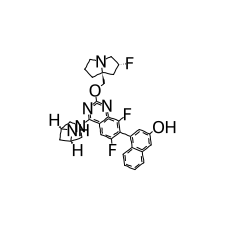 Oc1cc(-c2c(F)cc3c(N4C[C@H]5C[C@@H](C4)N5)nc(OC[C@@]45CCCN4C[C@H](F)C5)nc3c2F)c2ccccc2c1